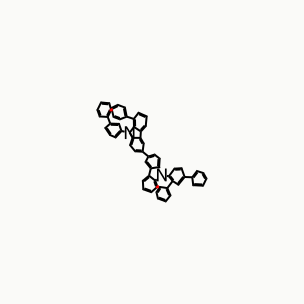 c1ccc(-c2cccc(-n3c4ccc(-c5ccc6c(c5)c5ccccc5n6-c5ccc(-c6ccccc6)cc5-c5ccccc5)cc4c4cccc(-c5ccccc5)c43)c2)cc1